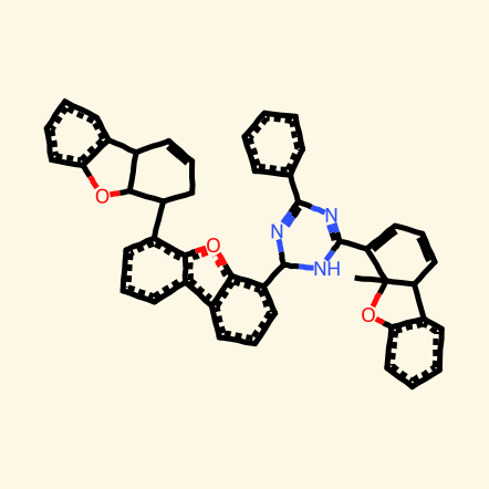 CC12Oc3ccccc3C1C=CC=C2C1=NC(c2ccccc2)=NC(c2cccc3c2oc2c(C4CC=CC5c6ccccc6OC54)cccc23)N1